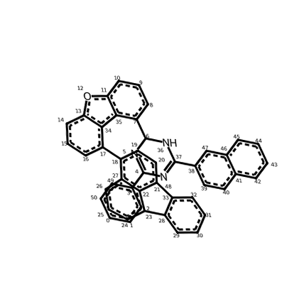 c1ccc(C2=NC(c3cccc4oc5cccc(-c6ccc7c8c(cccc68)-c6ccccc6-7)c5c34)NC(c3ccc4ccccc4c3)=N2)cc1